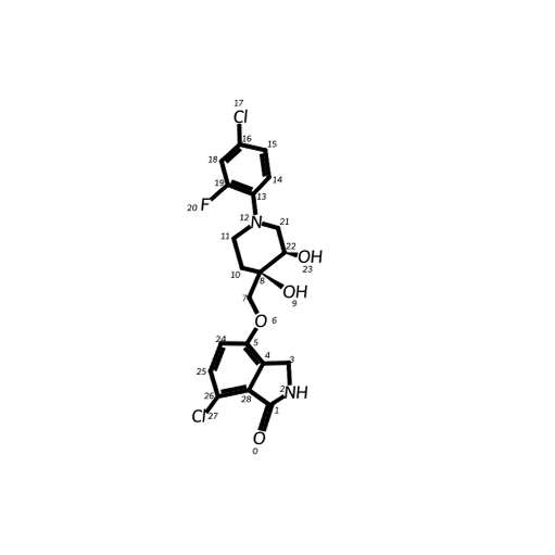 O=C1NCc2c(OC[C@]3(O)CCN(c4ccc(Cl)cc4F)C[C@H]3O)ccc(Cl)c21